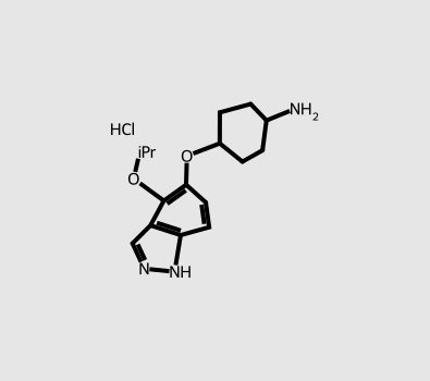 CC(C)Oc1c(OC2CCC(N)CC2)ccc2[nH]ncc12.Cl